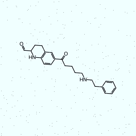 O=CC1CCc2cc(C(=O)CCCCNCCc3ccccc3)ccc2N1